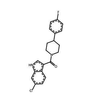 O=C(c1c[nH]c2cc(Cl)ccc12)N1CCC(c2ccc(F)cc2)CC1